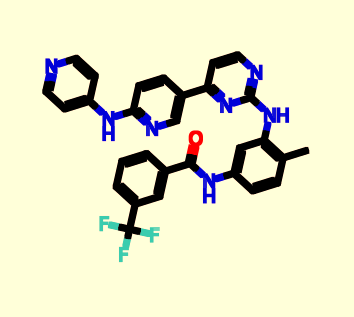 Cc1ccc(NC(=O)c2cccc(C(F)(F)F)c2)cc1Nc1nccc(-c2ccc(Nc3ccncc3)nc2)n1